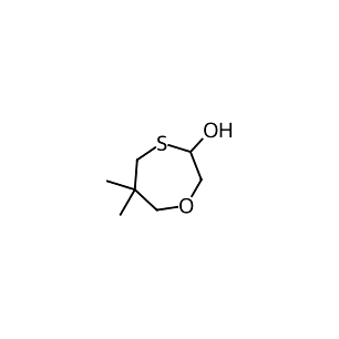 CC1(C)COCC(O)SC1